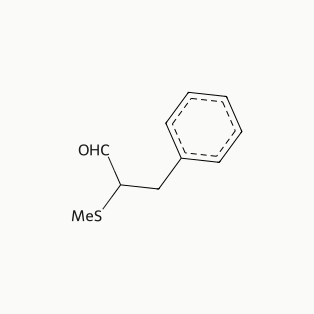 CSC(C=O)Cc1ccccc1